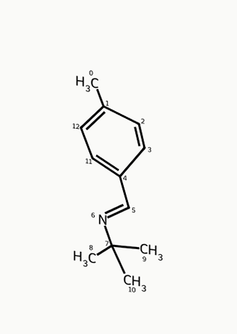 Cc1ccc(/C=N/C(C)(C)C)cc1